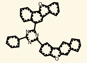 c1ccc(-c2nc(-c3ccc4oc5cc6ccccc6cc5c4c3)nc(-c3cc4c5ccccc5oc4c4ccccc34)n2)cc1